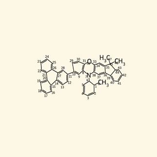 CC1C=CC=CC1N1c2cc(-c3ccc4c5ccccc5c5ccccc5c4c3)ccc2Oc2cc3c(cc21)-c1ccccc1C3(C)C